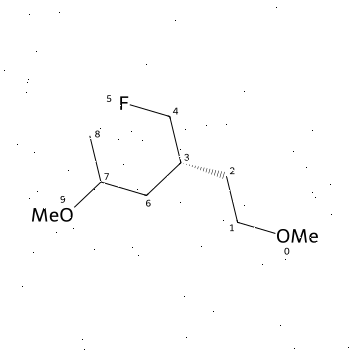 COCC[C@@H](CF)CC(C)OC